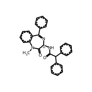 CN1C(=O)[C@H](NC(=O)C(c2ccccc2)c2ccccc2)N=C(c2ccccc2)c2ccccc21